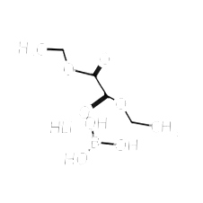 CCOC(=O)C(=O)OCC.OB(O)O.[LiH]